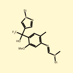 CCN(C)/C=N/c1cc(OC)c(C(O)(c2cnn(CC)c2)C(F)(F)F)cc1C